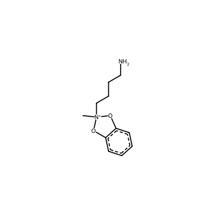 C[N+]1(CCCCN)Oc2ccccc2O1